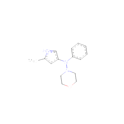 CSc1cc(N(c2ccccc2)N2CCOCC2)c[nH]1